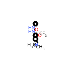 CN(C)CC1CCc2cc(NC(=O)Nc3ccccc3)cc(OC(F)(F)F)c2C1